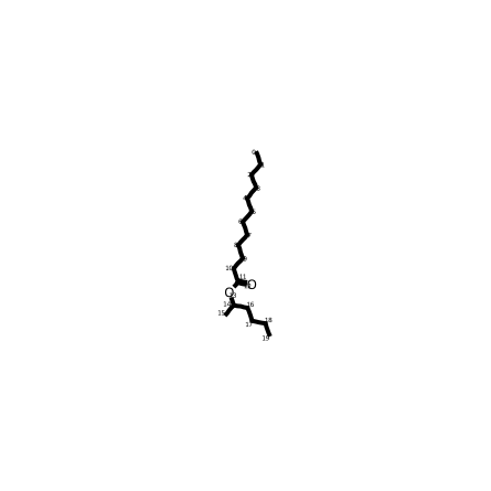 CCCCCCCCCCCC(=O)OC(C)CCCC